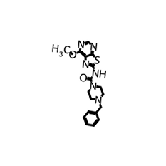 COc1ncnc2sc(NC(=O)N3CCN(Cc4ccccc4)CC3)nc12